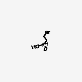 O=[PH](O)CCBr